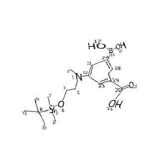 CN(CCO[Si](C)(C)C(C)(C)C)c1cc(B(O)O)cc(C(=O)O)c1